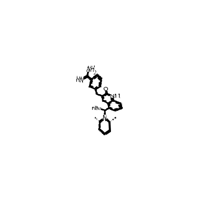 CCCCC(c1cccc2[nH]c(=O)c(Cc3cccc(C(=N)N)c3)cc12)N1[C@H](C)CCC[C@@H]1C